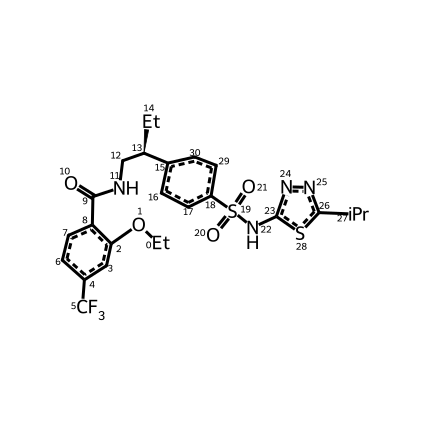 CCOc1cc(C(F)(F)F)ccc1C(=O)NC[C@@H](CC)c1ccc(S(=O)(=O)Nc2nnc(C(C)C)s2)cc1